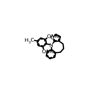 COc1cc(C)cc(OC)c1N1c2ccccc2CCCc2ccoc21